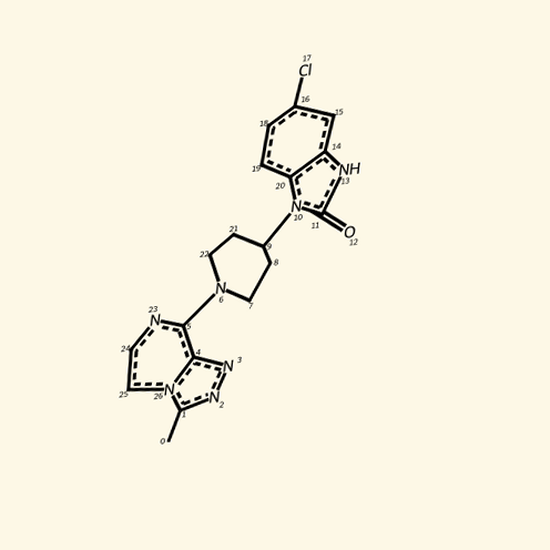 Cc1nnc2c(N3CCC(n4c(=O)[nH]c5cc(Cl)ccc54)CC3)nccn12